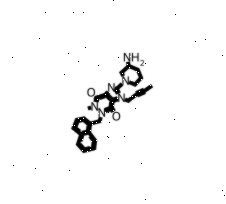 CC#CCn1c(N2CCCC(N)C2)nc2c(=O)n(C)n(Cc3cccc4ccccc34)c(=O)c21